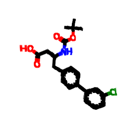 CC(C)(C)OC(=O)NC(CC(=O)O)Cc1ccc(-c2cccc(Cl)c2)cc1